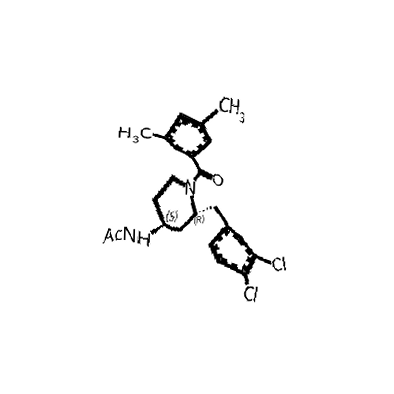 CC(=O)N[C@H]1CCN(C(=O)c2cc(C)cc(C)c2)[C@H](Cc2ccc(Cl)c(Cl)c2)C1